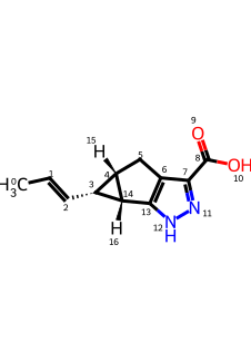 C/C=C/[C@@H]1[C@@H]2Cc3c(C(=O)O)n[nH]c3[C@H]12